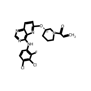 C=CC(=O)N1CCC[C@H](Oc2ccc3ncnc(Nc4ccc(Cl)c(Cl)c4F)c3n2)C1